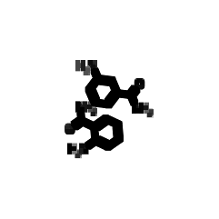 NC(=O)c1cccc(N)c1.NC(=O)c1ccccc1N